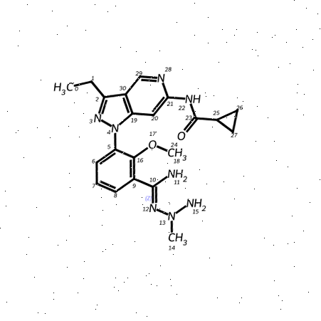 CCc1nn(-c2cccc(/C(N)=N/N(C)N)c2OC)c2cc(NC(=O)C3CC3)ncc12